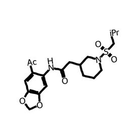 CC(=O)c1cc2c(cc1NC(=O)CC1CCCN(S(=O)(=O)CC(C)C)C1)OCO2